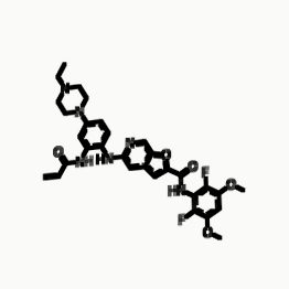 C=CC(=O)Nc1cc(N2CCN(CC)CC2)ccc1Nc1cc2cc(C(=O)Nc3c(F)c(OC)cc(OC)c3F)oc2cn1